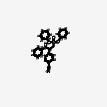 N#Cc1ccc(C(CP(=O)(Oc2ccccc2)Oc2ccccc2)Nc2ccccc2)cc1